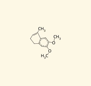 COc1cc2c(cc1OC)C(C)=CCC2